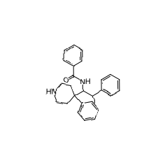 O=C(NC(C(I)c1ccccc1)C1(c2ccccc2)CCNCC1)c1ccccc1